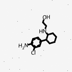 Nc1ccc(C2CCCCC2NCCO)cc1Cl